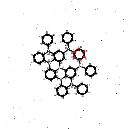 c1ccc(N(c2ccccc2)c2cc3c4c(c2)N2c5cc(N(c6ccccc6)c6ccccc6)cc6c5B(c5ccccc5N6c5ccccc5)c5cccc(c52)B4c2ccccc2N3c2ccccc2)cc1